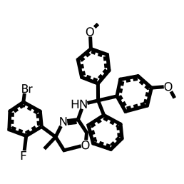 COc1ccc(C(NC2=NC(C)(c3cc(Br)ccc3F)COC2)(c2ccccc2)c2ccc(OC)cc2)cc1